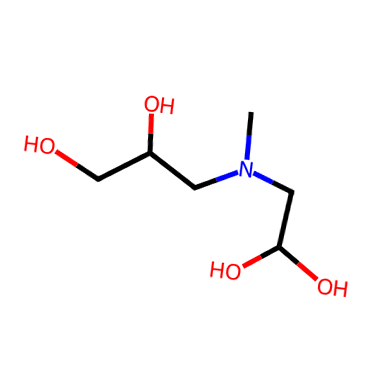 CN(CC(O)O)CC(O)CO